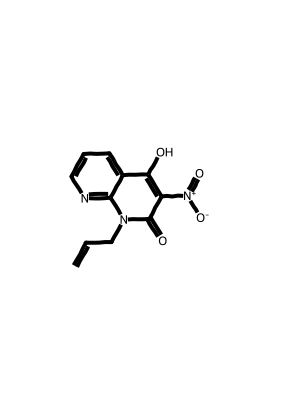 C=CCn1c(=O)c([N+](=O)[O-])c(O)c2cccnc21